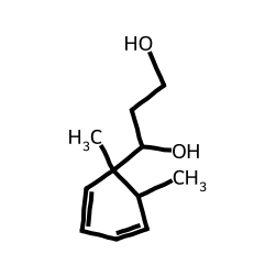 CC1C=CC=CC1(C)C(O)CCO